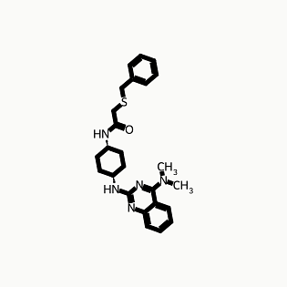 CN(C)c1nc(N[C@H]2CC[C@@H](NC(=O)CSCc3ccccc3)CC2)nc2ccccc12